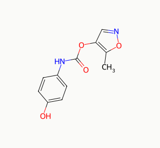 Cc1oncc1OC(=O)Nc1ccc(O)cc1